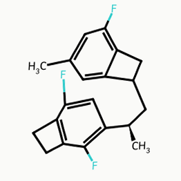 Cc1cc(F)c2c(c1)C(C[C@@H](C)c1cc(F)c3c(c1F)CC3)C2